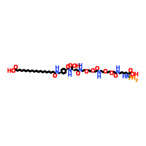 O=C(O)CCCCCCCCCCCCCCCCCCC(=O)NC[C@H]1CC[C@H](C(=O)N[C@@H](CCC(=O)NCCOCCOCC(=O)NCCOCCOCC(=O)NCCCC[C@H](NP)C(=O)O)C(=O)O)CC1